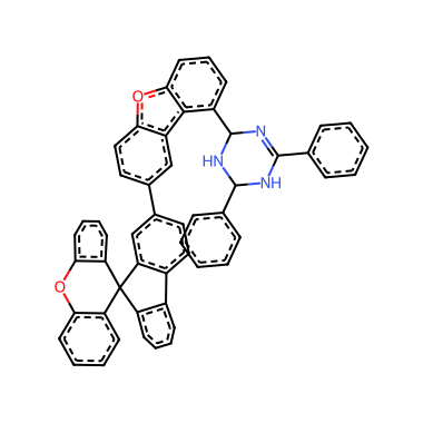 c1ccc(C2=NC(c3cccc4oc5ccc(-c6ccc7c(c6)C6(c8ccccc8Oc8ccccc86)c6ccccc6-7)cc5c34)NC(c3ccccc3)N2)cc1